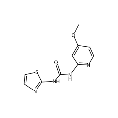 COc1ccnc(NC(=O)Nc2nccs2)c1